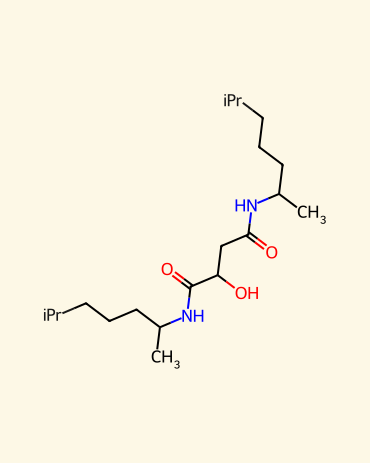 CC(C)CCCC(C)NC(=O)CC(O)C(=O)NC(C)CCCC(C)C